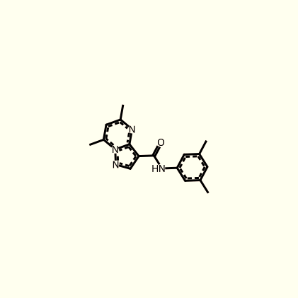 Cc1cc(C)cc(NC(=O)c2cnn3c(C)cc(C)nc23)c1